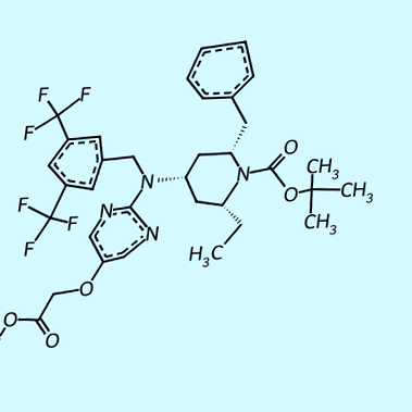 CC[C@@H]1C[C@H](N(Cc2cc(C(F)(F)F)cc(C(F)(F)F)c2)c2ncc(OCC(=O)OC)cn2)C[C@H](Cc2ccccc2)N1C(=O)OC(C)(C)C